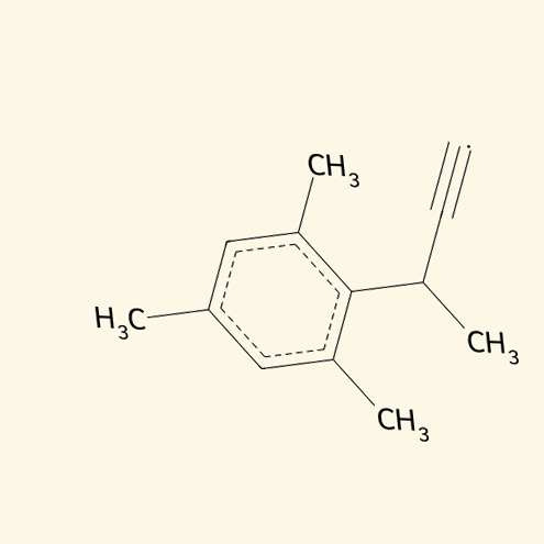 [C]#CC(C)c1c(C)cc(C)cc1C